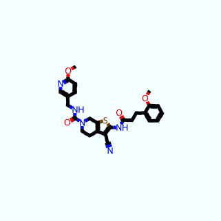 COc1ccc(CNC(=O)N2CCc3c(sc(NC(=O)CCc4ccccc4OC)c3C#N)C2)cn1